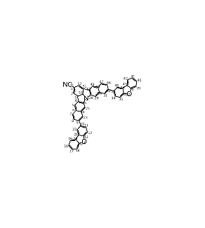 N#CC1=CC2c3cc4ccc(-c5ccc6oc7ccccc7c6c5)cc4cc3N3c4cc5cc(-c6ccc7oc8ccccc8c7c6)ccc5cc4C(=C1)C23